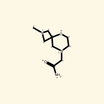 CN1CC2(C1)CN(CC(N)=O)CCO2